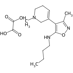 CCCCNc1onc(C)c1C1=CCCN(C)C1.O=C(O)C(=O)O